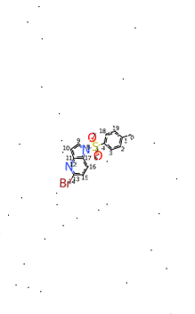 Cc1ccc(S(=O)(=O)n2ccc3nc(Br)ccc32)cc1